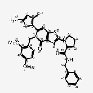 COc1ccc(Cn2c(-c3sc(C)cc3F)nc3sc(N4CCCC4C(=O)NCc4ccccc4)nc3c2=O)c(OC)c1